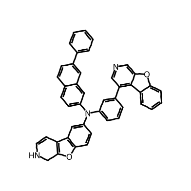 C1=Cc2c(oc3ccc(N(c4cccc(-c5cncc6oc7ccccc7c56)c4)c4ccc5ccc(-c6ccccc6)cc5c4)cc23)CN1